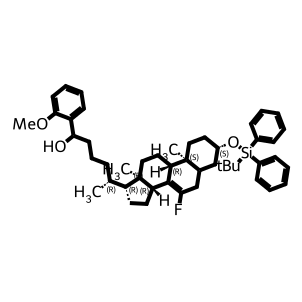 COc1ccccc1C(O)CCC[C@@H](C)[C@H]1CC[C@H]2C3=C(F)CC4C[C@@H](O[Si](c5ccccc5)(c5ccccc5)C(C)(C)C)CC[C@]4(C)[C@H]3CC[C@]12C